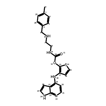 Cc1ccc(CNCCNC(=O)Oc2sccc2Nc2ccnc3[nH]ccc23)cc1